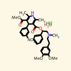 COC(=O)C1=C(C)NC(C)=C(C(=O)OC(CN(C)CCc2ccc(OC)c(OC)c2)c2ccccc2)C1c1cccc([N+](=O)[O-])c1.Cl.O